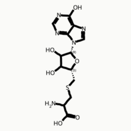 NC(CSC[C@H]1O[C@@H](n2cnc3c(O)ncnc32)C(O)C1O)C(=O)O